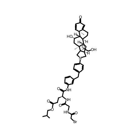 CC(C)COC(=O)CC[C@H](NC(=O)CNC(=O)CBr)C(=O)Nc1cccc(Cc2ccc(N3C[C@@H]4C[C@H]5[C@@H]6CCC7=CC(=O)C=C[C@]7(C)[C@H]6[C@@H](O)C[C@]5(C)[C@]4(C(=O)CO)C3)cc2)c1